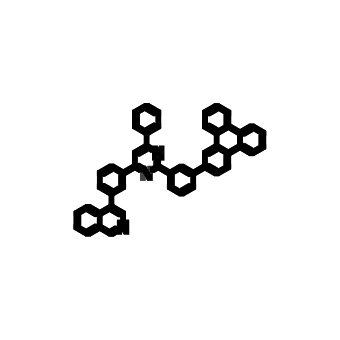 c1ccc(-c2cc(-c3cccc(-c4cncc5ccccc45)c3)nc(-c3cccc(-c4ccc5c6ccccc6c6ccccc6c5c4)c3)n2)cc1